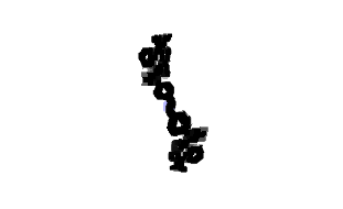 CN(C)C(=O)N1CCC[C@H]1C(=O)Nc1ccc(/C=C/c2ccc(NC(=O)[C@@H]3CCCN3C(=O)N(C)C)cc2)cc1